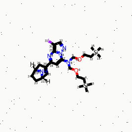 C[Si](C)(C)CCOCN(COCC[Si](C)(C)C)c1cc(C2=C[C@@H]3CC[C@H](C2)N3)nc2c(I)cnn12